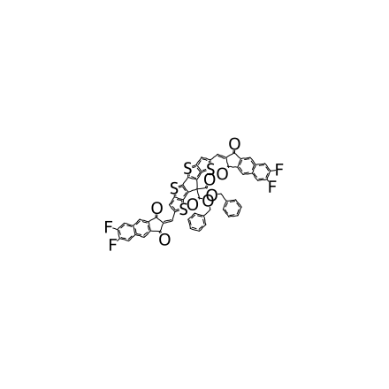 O=C1C(=Cc2cc3sc4c(c3s2)C(C(=O)OCc2ccccc2)(C(=O)OCc2ccccc2)c2c-4sc3cc(C=C4C(=O)c5cc6cc(F)c(F)cc6cc5C4=O)sc23)C(=O)c2cc3cc(F)c(F)cc3cc21